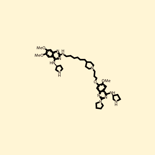 COc1cc2nc(NCCCCCCC3CCN(CCCOc4cc5nc(N6CCCC6)nc(N[C@H]6CCNC6)c5cc4OC)CC3)nc(N[C@H]3CCNC3)c2cc1OC